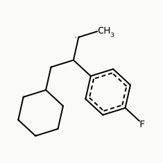 C[CH]C(CC1CCCCC1)c1ccc(F)cc1